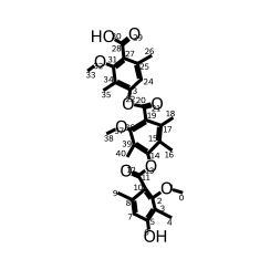 COc1c(C)c(O)cc(C)c1C(=O)Oc1c(C)c(C)c(C(=O)Oc2cc(C)c(C(=O)O)c(OC)c2C)c(OC)c1C